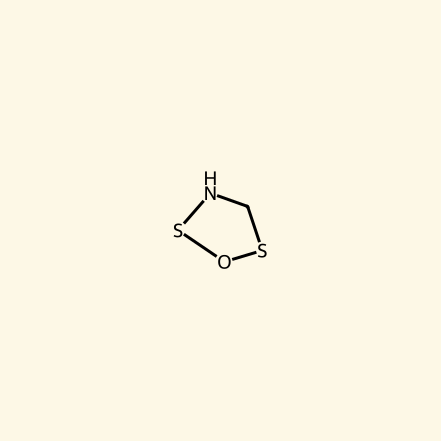 C1NSOS1